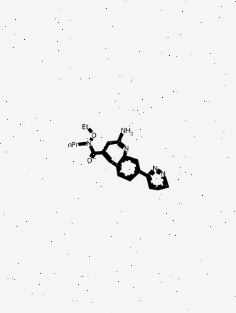 CCCN(OCC)C(=O)C1=Cc2ccc(-c3cccnn3)cc2N=C(N)C1